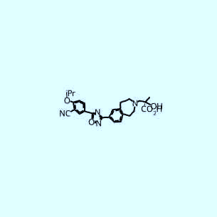 CC(C)Oc1ccc(-c2nc(-c3ccc4c(c3)CCN(C[C@@](C)(O)C(=O)O)CC4)no2)cc1C#N